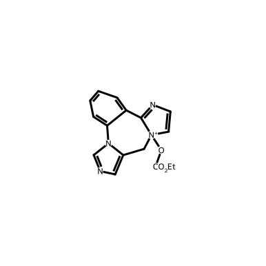 CCOC(=O)O[N+]12C=CN=C1c1ccccc1-n1cncc1C2